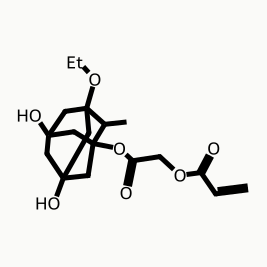 C=CC(=O)OCC(=O)OC12CC3(O)CC(O)(CC(OCC)(C3)C1C)C2